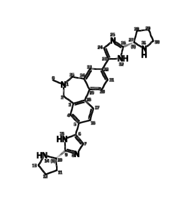 CN1Cc2cc(-c3cnc([C@@H]4CCCN4)[nH]3)ccc2-c2ccc(-c3cnc([C@@H]4CCCN4)[nH]3)cc2C1